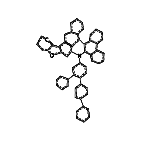 c1ccc(-c2ccc(-c3ccc(N(c4ccc5c(c4)oc4ccccc45)c4c(-c5cccc6ccccc56)c5ccccc5c5ccccc45)cc3-c3ccccc3)cc2)cc1